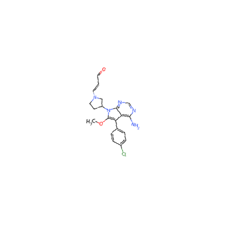 COc1c(-c2ccc(Cl)cc2)c2c(N)ncnc2n1C1CCN(C=CC=O)C1